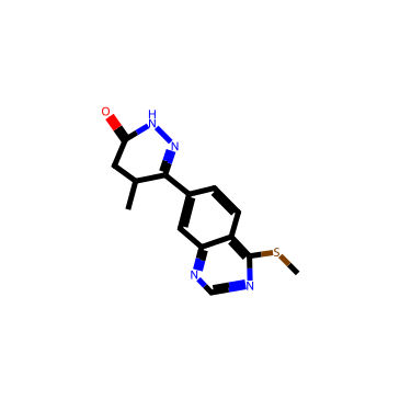 CSc1ncnc2cc(C3=NNC(=O)CC3C)ccc12